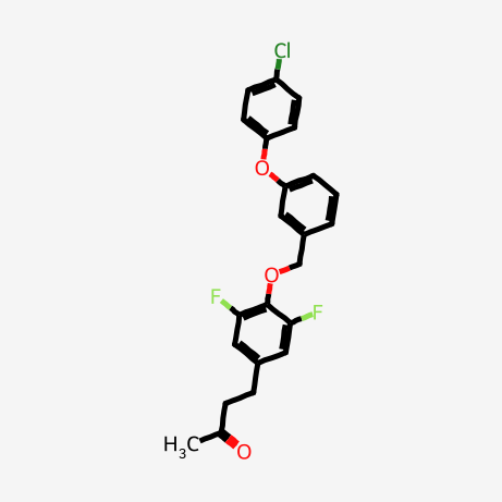 CC(=O)CCc1cc(F)c(OCc2cccc(Oc3ccc(Cl)cc3)c2)c(F)c1